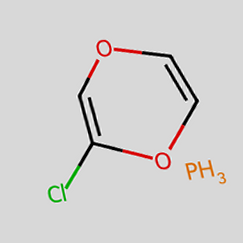 ClC1=COC=CO1.P